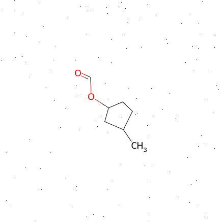 CC1CCC(OC=O)C1